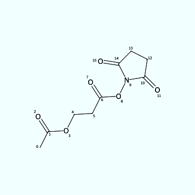 CC(=O)OCCC(=O)ON1C(=O)CCC1=O